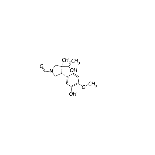 COc1ccc([C@@H]2CN(C=O)C[C@@]2(C)C(C)O)cc1O